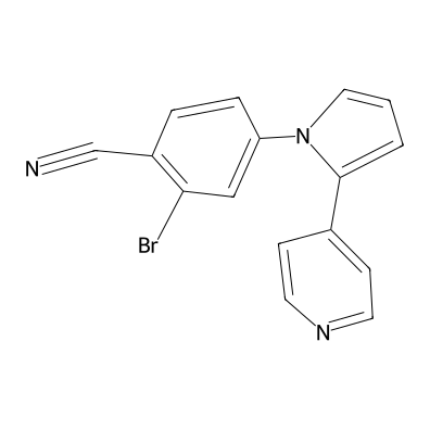 N#Cc1ccc(-n2cccc2-c2ccncc2)cc1Br